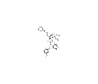 C#C/C(F)=C\C(=C/CF)C[C@H](NC(=O)C(CCNC(=O)C1CCCCC1)CS(=O)(=O)C(CCC)CCC)[C@H](O)CNCc1cccc(CC)c1